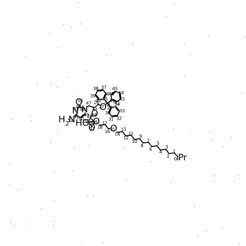 CC(C)CCCCCCCCCCCCCCOCCCOP(=O)(O)CO[C@H](COC(c1ccccc1)(c1ccccc1)c1ccccc1)Cn1ccc(N)nc1=O